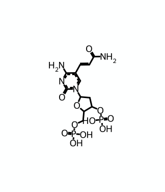 NC(=O)/C=C/c1cn(C2CC(OP(=O)(O)O)C(COP(=O)(O)O)O2)c(=O)nc1N